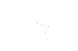 CC1CN(c2ccc(-n3ccc4c(-c5ccc(C#N)cc5)cccc4c3=O)cc2Br)CC(C)O1